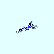 C[C@H]1Cn2c(C(F)F)cc3nc(NC/C(C=N)=C/NCc4ccc(C(F)(F)F)nc4)nc(c32)N1C